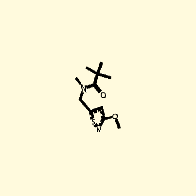 COc1cc(CN(C)C(=O)C(C)(C)C)sn1